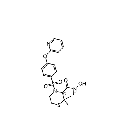 CC1(C)SCCN(S(=O)(=O)c2ccc(Oc3ccccn3)cc2)[C@H]1C(=O)NO